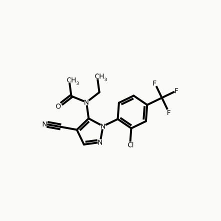 CCN(C(C)=O)c1c(C#N)cnn1-c1ccc(C(F)(F)F)cc1Cl